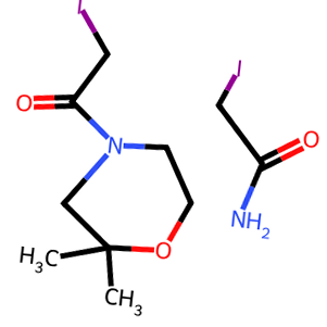 CC1(C)CN(C(=O)CI)CCO1.NC(=O)CI